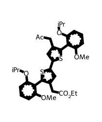 CCOC(=O)Cc1cc(-c2cc(CC(C)=O)c(-c3c(OC)cccc3OC(C)C)s2)sc1-c1c(OC)cccc1OC(C)C